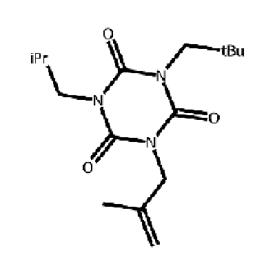 C=C(C)Cn1c(=O)n(CC(C)C)c(=O)n(CC(C)(C)C)c1=O